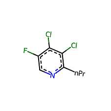 CCCc1ncc(F)c(Cl)c1Cl